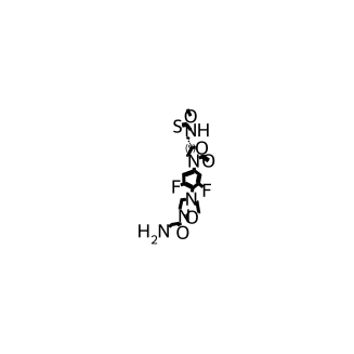 COC(=S)NC[C@H]1CN(c2cc(F)c(N3CCON(C(=O)CN)CC3)c(F)c2)C(=O)O1